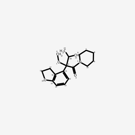 COC(C(=O)N1CCCCC1)(c1cccc2c1CCO2)C(C)C